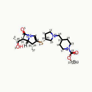 C[C@@H](O)[C@H]1C(=O)N2C=C(S[C@@H]3CCN(CC4CCN(C(=O)OC(C)(C)C)CC4)C3)[C@H](C)[C@H]12